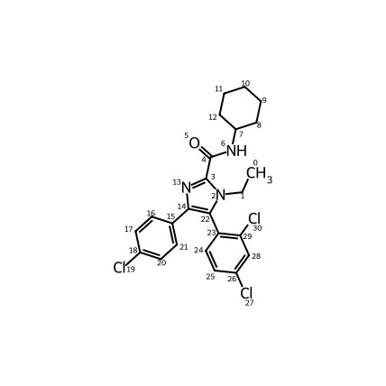 CCn1c(C(=O)NC2CCCCC2)nc(-c2ccc(Cl)cc2)c1-c1ccc(Cl)cc1Cl